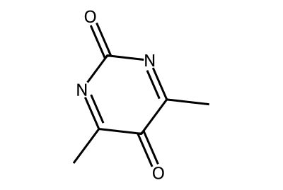 CC1=NC(=O)N=C(C)C1=O